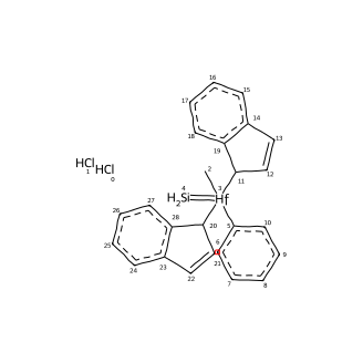 Cl.Cl.[CH3][Hf](=[SiH2])([c]1ccccc1)([CH]1C=Cc2ccccc21)[CH]1C=Cc2ccccc21